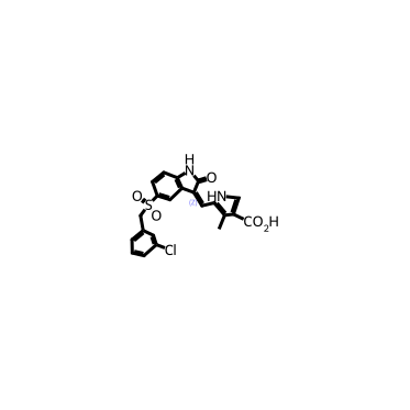 Cc1c(C(=O)O)c[nH]c1/C=C1\C(=O)Nc2ccc(S(=O)(=O)Cc3cccc(Cl)c3)cc21